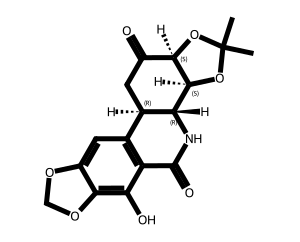 CC1(C)O[C@H]2[C@@H]3NC(=O)c4c(cc5c(c4O)OCO5)[C@H]3CC(=O)[C@H]2O1